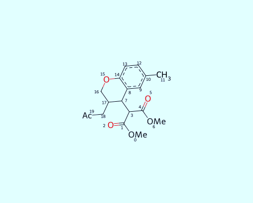 COC(=O)C(C(=O)OC)C1c2cc(C)ccc2OCC1CC(C)=O